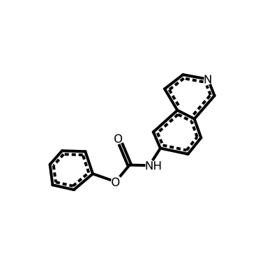 O=C(Nc1ccc2cnccc2c1)Oc1ccccc1